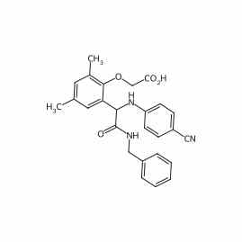 Cc1cc(C)c(OCC(=O)O)c(C(Nc2ccc(C#N)cc2)C(=O)NCc2ccccc2)c1